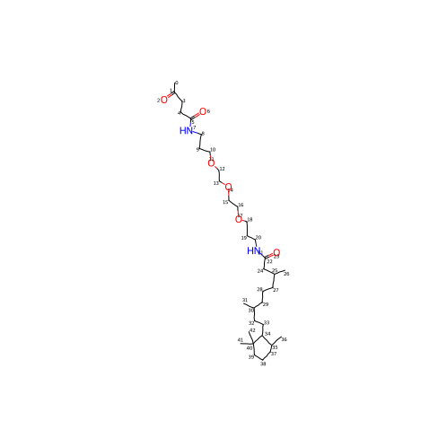 CC(=O)CCC(=O)NCCCOCCOCCOCCCNC(=O)CC(C)CCCC(C)CCC1C(C)CCCC1(C)C